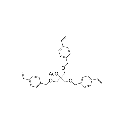 C=Cc1ccc(COCC(COCc2ccc(C=C)cc2)(COCc2ccc(C=C)cc2)OC(C)=O)cc1